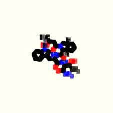 C[C@@H](O)CC(=O)N1C[C@@H]2CCC[C@@H]2[C@H]1C(=O)N[C@@H](Cc1c[nH]c2ccccc12)C(=O)N[C@H](C(N)=O)[C@@H](C)O